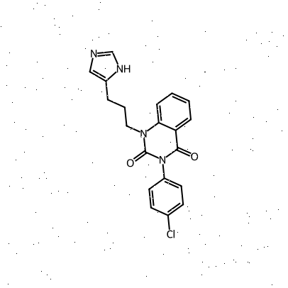 O=c1c2ccccc2n(CCCc2cnc[nH]2)c(=O)n1-c1ccc(Cl)cc1